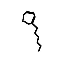 CCCCCCC1=CC=CCO[C]1